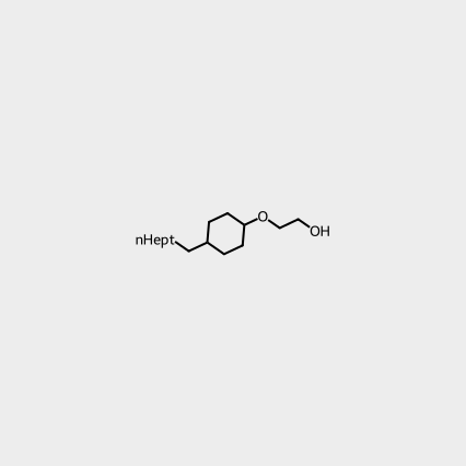 CCCCCCCCC1CCC(OCCO)CC1